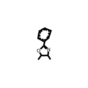 CC1N=C(c2ccccc2)OC1C